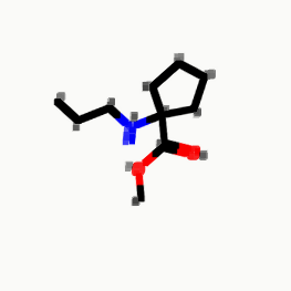 CCCNC1(C(=O)OC)CCCC1